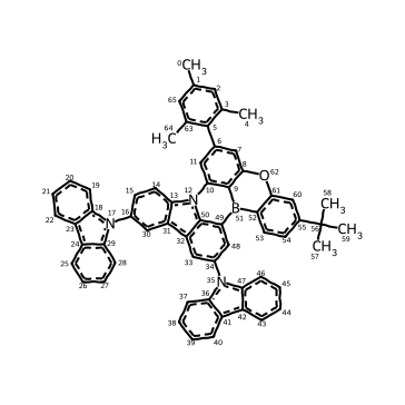 Cc1cc(C)c(-c2cc3c4c(c2)-n2c5ccc(-n6c7ccccc7c7ccccc76)cc5c5cc(-n6c7ccccc7c7ccccc76)cc(c52)B4c2ccc(C(C)(C)C)cc2O3)c(C)c1